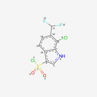 O=S(=O)(Cl)c1c[nH]c2c(Cl)c(C(F)F)ccc12